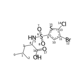 CC(C)CC(NS(=O)(=O)c1cc(Br)c(Cl)s1)C(=O)O